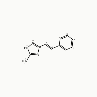 Nc1cc(C=Cc2ccccc2)n[nH]1